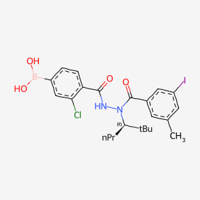 CCC[C@@H](N(NC(=O)c1ccc(B(O)O)cc1Cl)C(=O)c1cc(C)cc(I)c1)C(C)(C)C